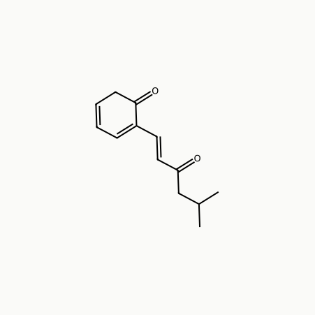 CC(C)CC(=O)C=CC1=CC=CCC1=O